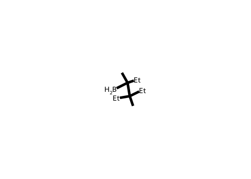 BC(C)(CC)C(C)(CC)CC